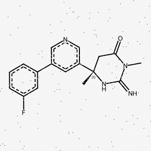 CN1C(=N)N[C@](C)(c2cncc(-c3cccc(F)c3)c2)CC1=O